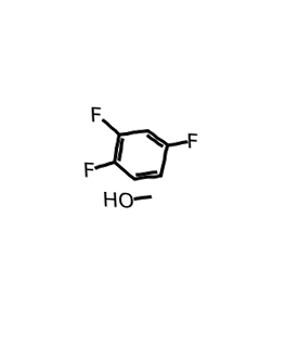 CO.Fc1ccc(F)c(F)c1